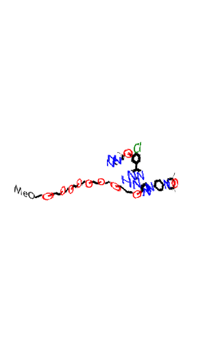 COCCOCCOCCOCCOCCOCCOCCOCCCOc1nn([C@H]2CC[C@H](N3C[C@@H](C)O[C@@H](C)C3)CC2)cc1Nc1ncc(-c2ccc(Cl)c(O[C@@H](C)Cn3cncn3)c2)cn1